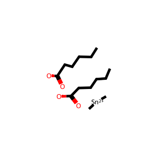 CCCCCC(=O)[O-].CCCCCC(=O)[O-].[CH3][Sn+2][CH3]